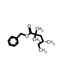 CC[C@@H](C)CC(C)(C)C(=O)OCc1ccccc1